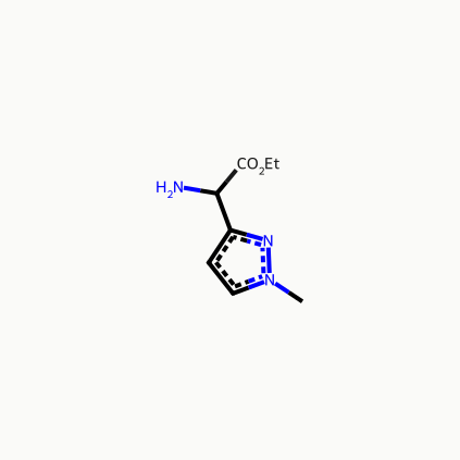 CCOC(=O)C(N)c1ccn(C)n1